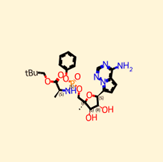 C[C@H](N[P@](=O)(OC[C@@]1(C)O[C@@H](c2ccc3c(N)ncnn23)[C@H](O)[C@@H]1O)Oc1ccccc1)C(=O)OCC(C)(C)C